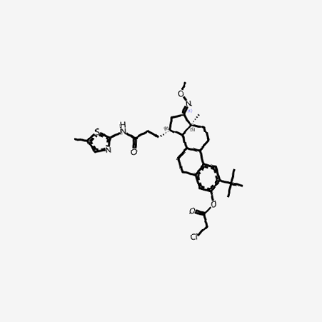 CO/N=C1\C[C@@H](CCC(=O)Nc2ncc(C)s2)C2C3CCc4cc(OC(=O)CCl)c(C(C)(C)C)cc4C3CC[C@]12C